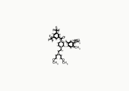 COCCN(CCOC)CCN1CCN(C(=O)c2cc(C(F)(F)F)cc(C(F)(F)F)c2)[C@H](Cc2ccc(C)c(C)c2)C1.Cl.Cl